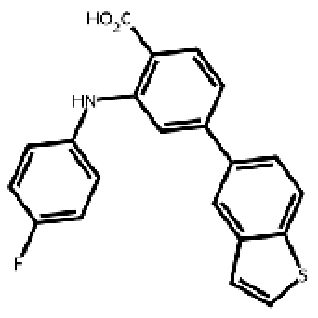 O=C(O)c1ccc(-c2ccc3sccc3c2)cc1Nc1ccc(F)cc1